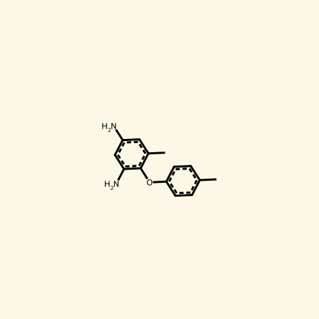 Cc1ccc(Oc2c(C)cc(N)cc2N)cc1